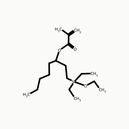 C=C(C)C(=O)OC(CCCCC)CC[Si](CC)(CC)OCC